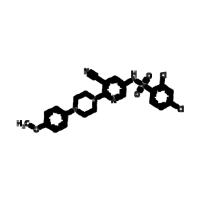 COc1ccc(N2CCN(c3ncc(NS(=O)(=O)c4ccc(Cl)cc4Cl)cc3C#N)CC2)cc1